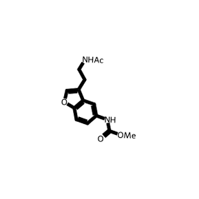 COC(=O)Nc1ccc2occ(CCNC(C)=O)c2c1